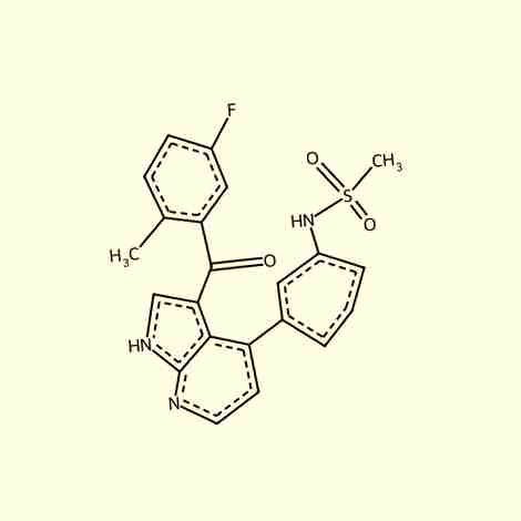 Cc1ccc(F)cc1C(=O)c1c[nH]c2nccc(-c3cccc(NS(C)(=O)=O)c3)c12